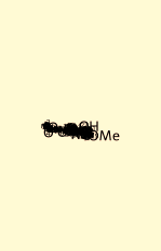 C=C(C)C(=O)OCCOc1ccc2nn(-c3ccc(OC)c(C)c3O)nc2c1